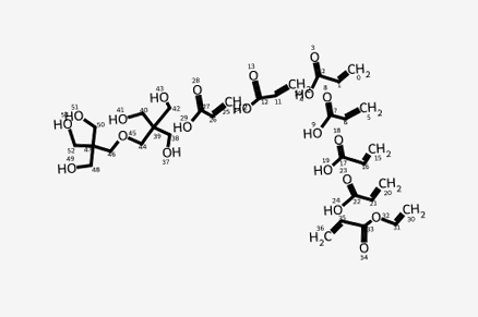 C=CC(=O)O.C=CC(=O)O.C=CC(=O)O.C=CC(=O)O.C=CC(=O)O.C=CC(=O)O.C=COC(=O)C=C.OCC(CO)(CO)COCC(CO)(CO)CO